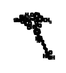 C[C@@H]1C=CC2=C[C@H](C)C[C@H](OC(=O)Nc3ccc(-c4cn(CCCCCCC(=O)NO)nn4)cc3)[C@@H]2[C@H]1CC[C@@H]1C[C@@H](O[Si](C)(C)C(C)(C)C)CC(=O)O1